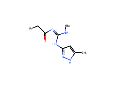 Cc1cc(N/C(=N\C(=O)CC(C)C)NC(C)(C)C)n[nH]1